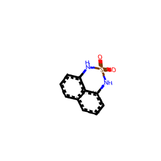 O=S1(=O)Nc2[c]ccc3cccc(c23)N1